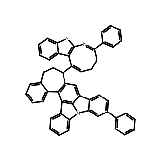 C1=C(/C2CCc3ccccc3-c3c2cc2c4ccc(-c5ccccc5)cc4n4c5ccccc5c3c24)c2c(sc3ccccc23)/N=C(/c2ccccc2)CC/1